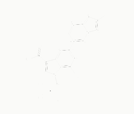 CC(=O)c1cn(CC(C)(C)C)c2c(C)cc(-c3cnc4cc(F)nn4c3)cc12